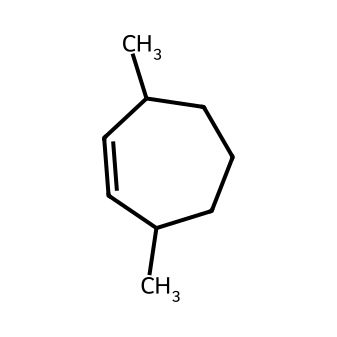 CC1C=CC(C)CCC1